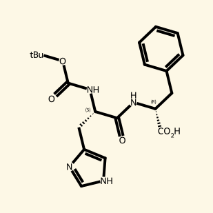 CC(C)(C)OC(=O)N[C@@H](Cc1c[nH]cn1)C(=O)N[C@H](Cc1ccccc1)C(=O)O